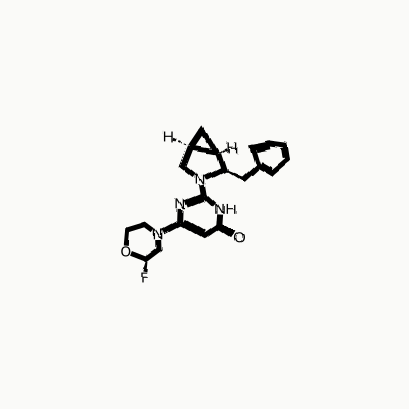 O=c1cc(N2CCO[C@H](F)C2)nc(N2C[C@H]3C[C@H]3[C@H]2Cc2ccccc2)[nH]1